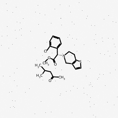 CC(=O)CC(C)C.COC(=O)[C@H](c1ccccc1Cl)N1CCc2sccc2C1